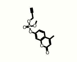 C#CCOP(=O)(OC)Oc1ccc2c(C)cc(=O)oc2c1